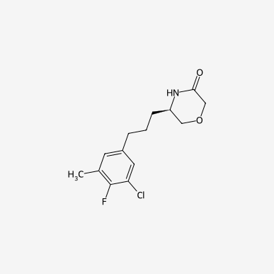 Cc1cc(CCC[C@@H]2COCC(=O)N2)cc(Cl)c1F